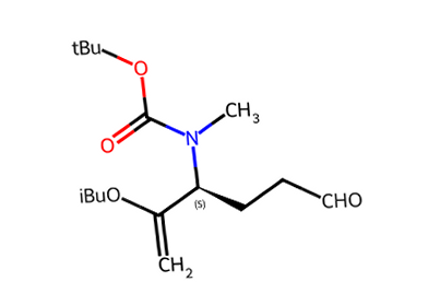 C=C(OCC(C)C)[C@H](CCC=O)N(C)C(=O)OC(C)(C)C